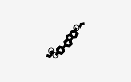 C=CC(=O)Oc1ccc(-c2ccc3c(c2)Cc2cc(OCCC)ccc2-3)cc1